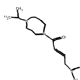 CC(C)N1CCN(C(=O)/C=C/CN(C)C)CC1